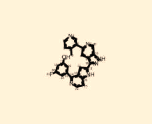 Cc1ccncc1-c1cc2c(-c3cc4c(-c5cc(O)cc(F)c5)nccc4[nH]3)n[nH]c2cn1